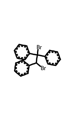 BrC(c1ccccc1)C(Br)(c1ccccc1)c1ccccc1